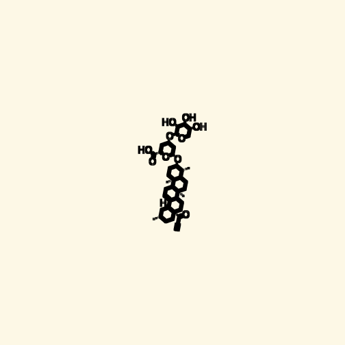 C#CC(=O)[C@@]12CCC3C(=CCC4[C@@]3(C)CCC3[C@@H](C)[C@@H](O[C@H]5C[C@@H](O[C@@H]6OC[C@@H](O)[C@H](O)[C@H]6O)C[C@@H](C(=O)O)O5)CC[C@@]34C)[C@@H]1C[C@@H](C)CC2